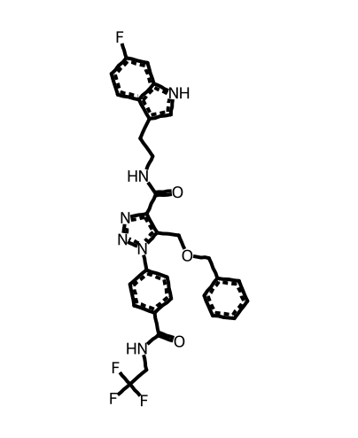 O=C(NCC(F)(F)F)c1ccc(-n2nnc(C(=O)NCCc3c[nH]c4cc(F)ccc34)c2COCc2ccccc2)cc1